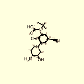 CC(C)(C)N(C(=O)O)c1cc(C#N)cc(N2CC[C@@H](N)[C@H](O)C2)c1Cl